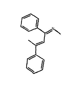 C/N=C(\C=C(/C)c1ccccc1)c1ccccc1